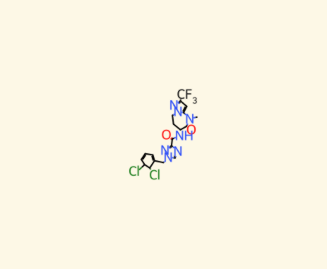 CN1C(=O)[C@H](NC(=O)c2ncn(CC3=CC=CC(Cl)C3Cl)n2)CCn2nc(C(F)(F)F)cc21